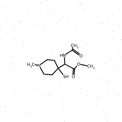 COC(=O)C(NC(C)=O)C1(S)CCN(C)CC1